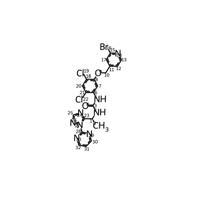 C[C@H](NC(=O)Nc1cc(OCc2ccnc(Br)c2)c(Cl)cc1Cl)c1ncnn1-c1ncccn1